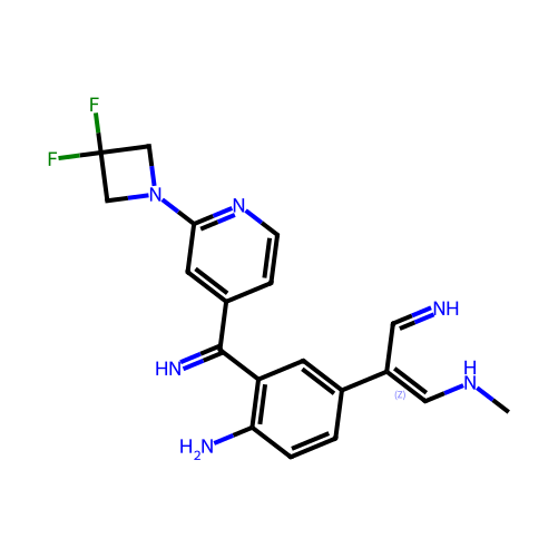 CN/C=C(\C=N)c1ccc(N)c(C(=N)c2ccnc(N3CC(F)(F)C3)c2)c1